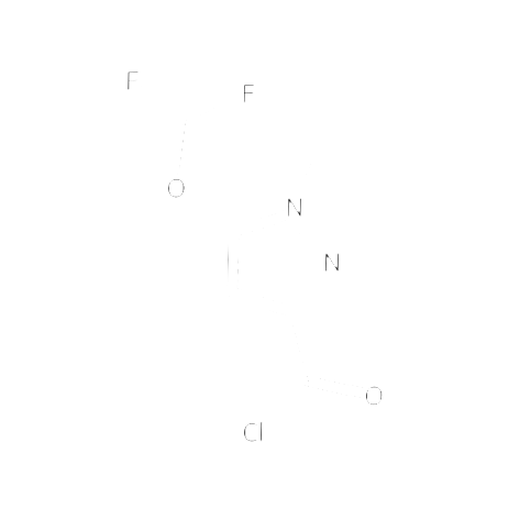 Cc1c(C(=O)Cl)nn(C)c1OC(F)F